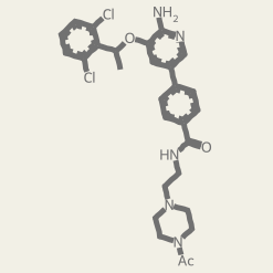 CC(=O)N1CCN(CCNC(=O)c2ccc(-c3cnc(N)c(OC(C)c4c(Cl)cccc4Cl)c3)cc2)CC1